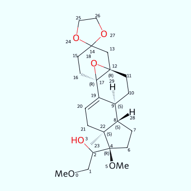 COCC(O)[C@@]1(OC)CC[C@H]2[C@@H]3CC[C@@]45CC6(CC[C@@]4(O5)C3=CC[C@@]21C)OCCO6